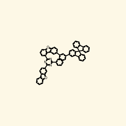 c1ccc(-c2nc(-c3ccc4c(c3)oc3ccccc34)nc(-c3cccc4oc5ccc(-c6cccc(-c7ccc8c(c7)-c7ccccc7C87c8ccccc8-c8ccccc87)c6)cc5c34)n2)cc1